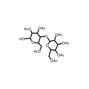 CC(=O)OCC1OC(O)C(OC(C)=O)C(OC(C)=O)C1OC1OC(COC(C)=O)C(OC(C)=O)C(OC(C)=O)C1OC(C)=O